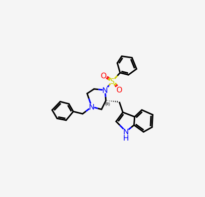 O=S(=O)(c1ccccc1)N1CCN(Cc2ccccc2)C[C@H]1Cc1c[nH]c2ccccc12